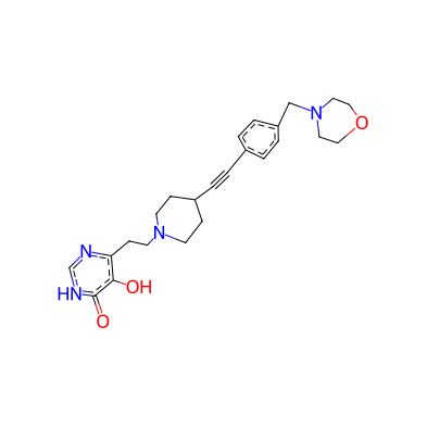 O=c1[nH]cnc(CCN2CCC(C#Cc3ccc(CN4CCOCC4)cc3)CC2)c1O